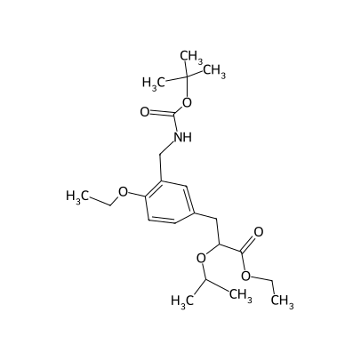 CCOC(=O)C(Cc1ccc(OCC)c(CNC(=O)OC(C)(C)C)c1)OC(C)C